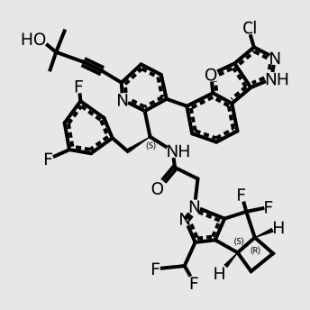 CC(C)(O)C#Cc1ccc(-c2cccc3c2oc2c(Cl)n[nH]c23)c([C@H](Cc2cc(F)cc(F)c2)NC(=O)Cn2nc(C(F)F)c3c2C(F)(F)[C@@H]2CC[C@H]32)n1